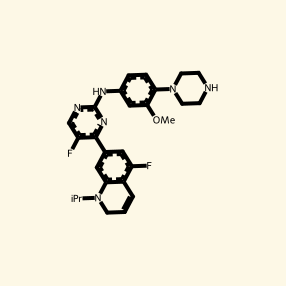 COc1cc(Nc2ncc(F)c(-c3cc(F)c4c(c3)N(C(C)C)CC=C4)n2)ccc1N1CCNCC1